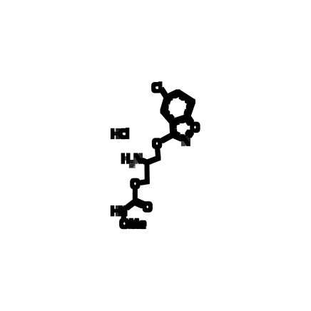 CONC(=O)OCC(N)COc1noc2ccc(Cl)cc12.Cl